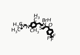 Br.CCN(C)C=Nc1cc(C)c(Cc2nc(C(=O)c3ccc(C(F)(F)F)cc3)cs2)cc1C